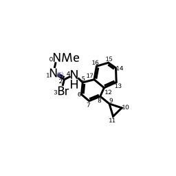 CN/N=C(/Br)Nc1ccc(C2CC2)c2ccccc12